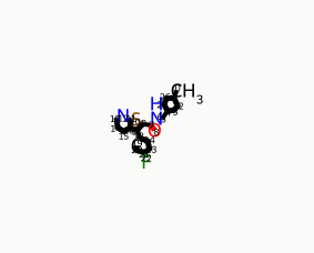 Cc1ccc(CNC(=O)c2sc3ncccc3c2-c2ccc(F)cc2)cc1